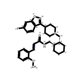 COc1ccccc1/C=C/C(=O)NC[C@@H]1CCCC[C@H]1CN1CCC(c2noc3cc(F)ccc23)CC1